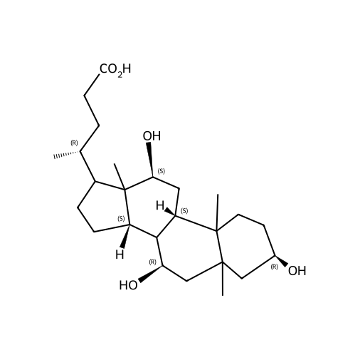 C[C@H](CCC(=O)O)C1CC[C@H]2C3[C@H](O)CC4(C)C[C@H](O)CCC4(C)[C@H]3C[C@H](O)C12C